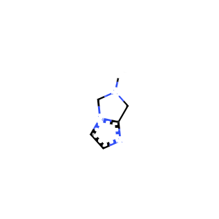 CC(C)N1Cc2nccn2C1